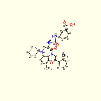 Cc1ccc2c(c1)N(CC(=O)c1ccccc1C)C(=O)C(NC(=O)Nc1cccc(C(=O)O)c1)CN2C1CCCCC1